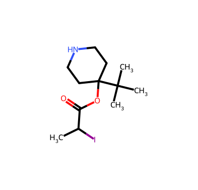 CC(I)C(=O)OC1(C(C)(C)C)CCNCC1